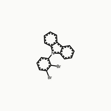 Brc1cccc(-n2c3ccccc3c3ccccc32)c1Br